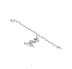 CCCCCCCCCCCCCCCCC(CCCCCCCCCCCCCC)COP(=O)([O-])OCC[N+](C)(C)C